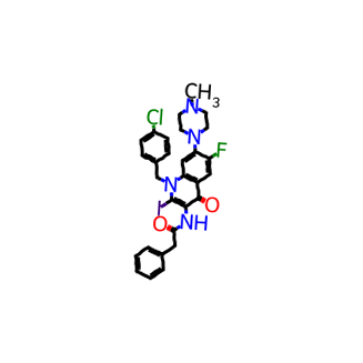 CN1CCN(c2cc3c(cc2F)c(=O)c(NC(=O)Cc2ccccc2)c(I)n3Cc2ccc(Cl)cc2)CC1